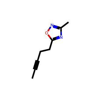 CC#CCCc1nc(C)no1